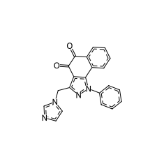 O=C1C(=O)c2c(Cn3ccnc3)nn(-c3ccccc3)c2-c2ccccc21